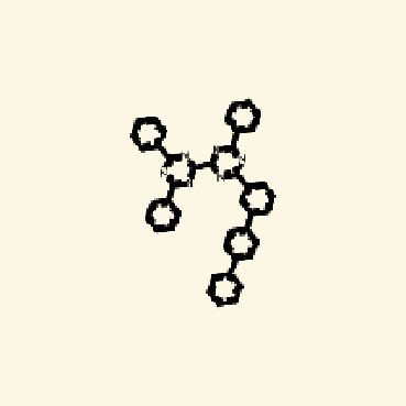 c1ccc(-c2ccc(-c3cccc(-c4nc(-c5ccccc5)nc(-c5nc(-c6ccccc6)nc(-c6ccccc6)n5)n4)c3)cc2)cc1